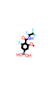 COc1cc(B(O)O)cc(F)c1C(=O)NC(F)C(F)F